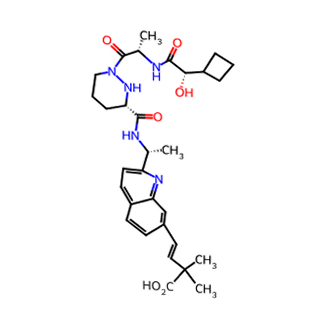 C[C@H](NC(=O)[C@@H](O)C1CCC1)C(=O)N1CCC[C@@H](C(=O)N[C@H](C)c2ccc3ccc(/C=C/C(C)(C)C(=O)O)cc3n2)N1